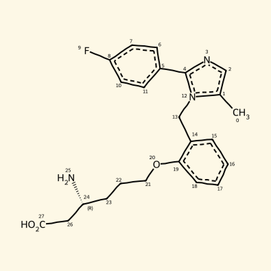 Cc1cnc(-c2ccc(F)cc2)n1Cc1ccccc1OCCC[C@@H](N)CC(=O)O